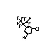 FC(F)(F)C(F)(c1cc(Cl)[c]c(Br)c1)C(F)(F)F